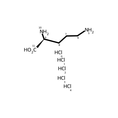 Cl.Cl.Cl.Cl.Cl.NCCC[C@H](N)C(=O)O